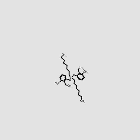 CCCCCCC[CH2][Sn]([CH2]CCCCCCC)([O]c1cccc(C)c1CC)[O]c1cccc(C)c1CC